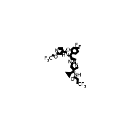 O=C(CCC(F)(F)F)N[C@@H](c1cnn2cc([C@@H](NC(=O)c3ccnc(OCC(F)(F)F)c3)C3CCC(F)(F)CC3)nc2c1)C1CC1